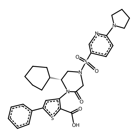 O=C(O)c1sc(-c2ccccc2)cc1N1C(=O)CN(S(=O)(=O)c2ccc(N3CCCC3)nc2)C[C@H]1C1CCCCC1